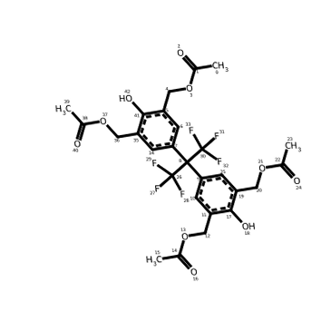 CC(=O)OCc1cc(C(c2cc(COC(C)=O)c(O)c(COC(C)=O)c2)(C(F)(F)F)C(F)(F)F)cc(COC(C)=O)c1O